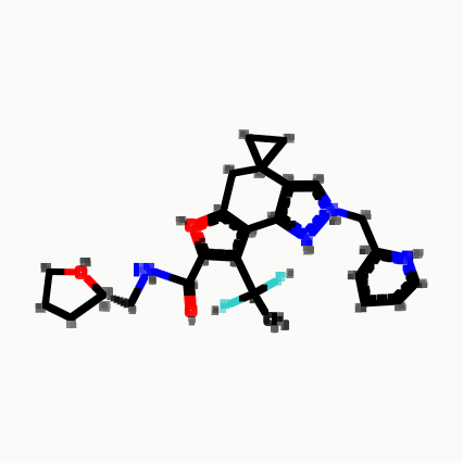 CC(F)(F)c1c(C(=O)NC[C@@H]2CCCO2)oc2c1-c1nn(Cc3ccccn3)cc1C1(CC1)C2